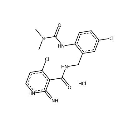 CN(C)C(=O)Nc1ccc(Cl)cc1CNC(=O)c1c(Cl)cc[nH]c1=N.Cl